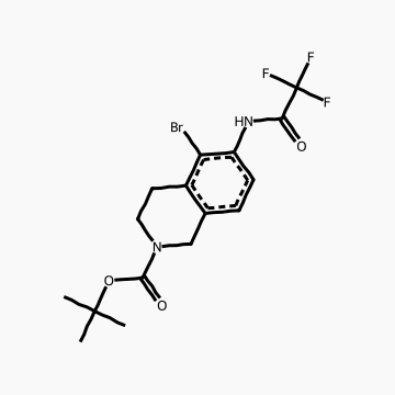 CC(C)(C)OC(=O)N1CCc2c(ccc(NC(=O)C(F)(F)F)c2Br)C1